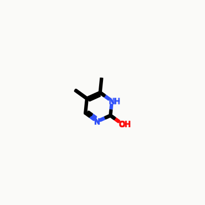 CC1=C(C)NC(O)N=C1